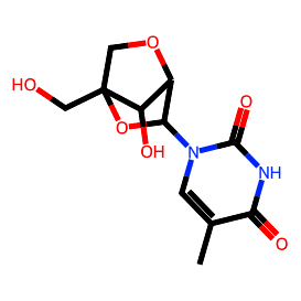 Cc1cn(C2OC3(CO)COC2C3O)c(=O)[nH]c1=O